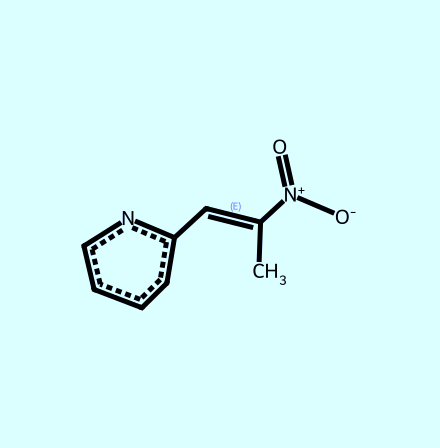 C/C(=C\c1ccccn1)[N+](=O)[O-]